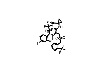 N#CC1(NC(=O)C(CS(=O)(=O)Cc2ccccc2C(F)(F)F)N[C@H](c2ccc(F)cc2F)C(F)(F)C(F)(F)F)CC1